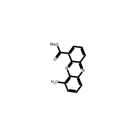 COC(=O)c1cccc2nc3cccc(C)c3nc12